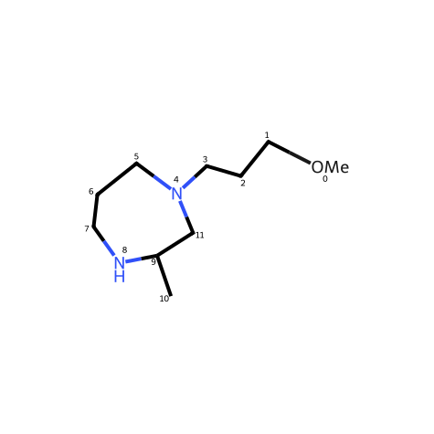 COCCCN1CCCNC(C)C1